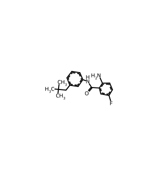 CC(C)(C)Cc1cccc(NC(=O)c2cc(F)ccc2N)c1